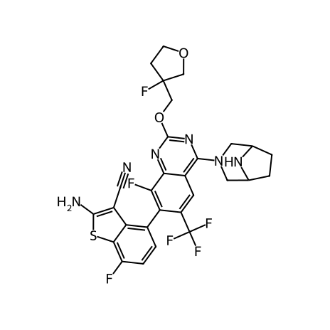 N#Cc1c(N)sc2c(F)ccc(-c3c(C(F)(F)F)cc4c(N5CC6CCC(C5)N6)nc(OCC5(F)CCOC5)nc4c3F)c12